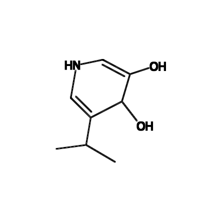 CC(C)C1=CNC=C(O)C1O